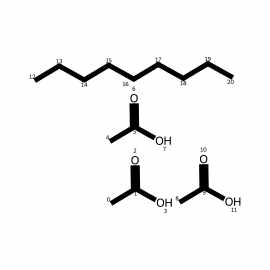 CC(=O)O.CC(=O)O.CC(=O)O.CCCCCCCCC